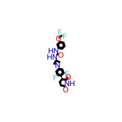 O=C1CC[C@@H](c2c(F)cc(N3CC(NC(=O)Nc4cccc(OC(F)F)c4)C3)cc2F)C(=O)N1